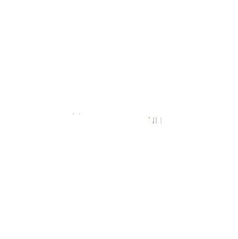 C1CNC2(C1)CCCOC2